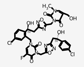 Cn1cc(CO)c(=O)n(Cc2nc(C[C@H](O)c3ccc(Cl)cc3Cn3cc(F)c(=O)n(Cc4nc(C[C@H](O)c5ccc(Cl)cc5)no4)c3=O)no2)c1=O